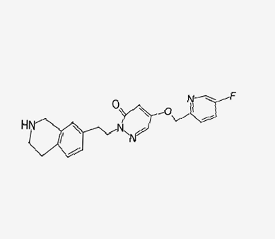 O=c1cc(OCc2ccc(F)cn2)cnn1CCc1ccc2c(c1)CNCC2